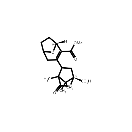 COC(=O)C1=C(C2C[C@]3(C(=O)O)OC(=O)C2(C)C3(C)C)CC2CC[C@H]1O2